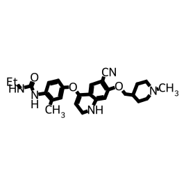 CCNC(=O)Nc1ccc(OC2=CCNc3cc(OCC4CCN(C)CC4)c(C#N)cc32)cc1C